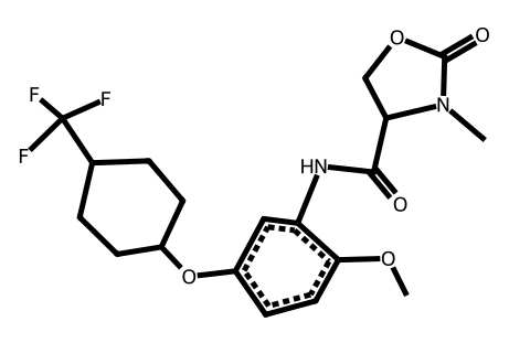 COc1ccc(OC2CCC(C(F)(F)F)CC2)cc1NC(=O)C1COC(=O)N1C